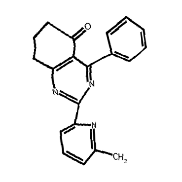 Cc1cccc(-c2nc3c(c(-c4ccccc4)n2)C(=O)CCC3)n1